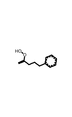 C=C(CCCc1ccccc1)OO